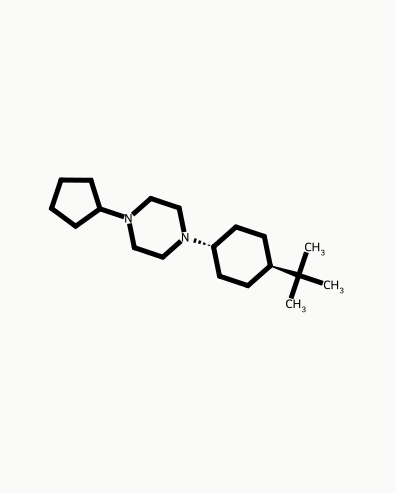 CC(C)(C)[C@H]1CC[C@H](N2CCN(C3CCCC3)CC2)CC1